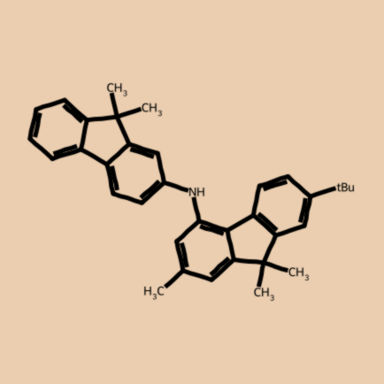 Cc1cc(Nc2ccc3c(c2)C(C)(C)c2ccccc2-3)c2c(c1)C(C)(C)c1cc(C(C)(C)C)ccc1-2